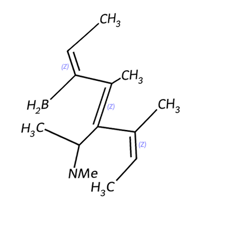 BC(=C/C)/C(C)=C(/C(C)=C\C)C(C)NC